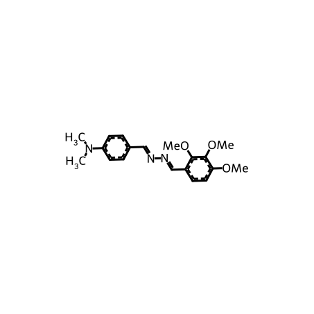 COc1ccc(/C=N/N=C/c2ccc(N(C)C)cc2)c(OC)c1OC